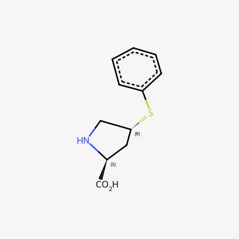 O=C(O)[C@@H]1C[C@@H](Sc2ccccc2)CN1